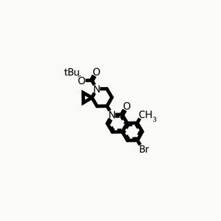 Cc1cc(Br)cc2ccn(C3CCN(C(=O)OC(C)(C)C)C4(CC4)C3)c(=O)c12